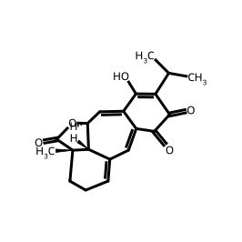 CC(C)C1=C(O)C2=C[C@@H]3OC(=O)[C@@]4(C)CCC=C(C=C2C(=O)C1=O)[C@@H]34